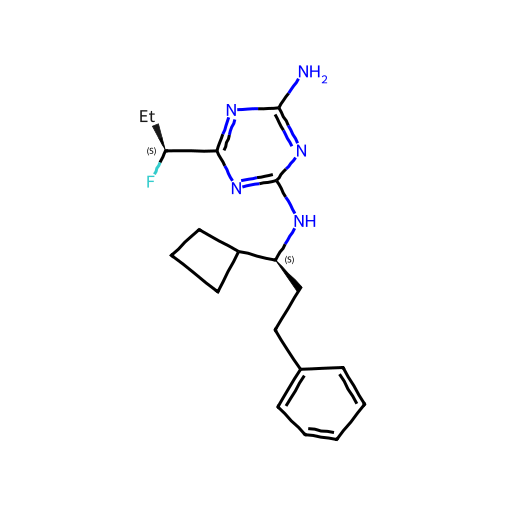 CC[C@H](F)c1nc(N)nc(N[C@@H](CCc2ccccc2)C2CCC2)n1